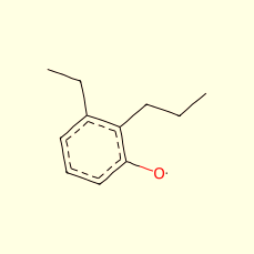 CCCc1c([O])cccc1CC